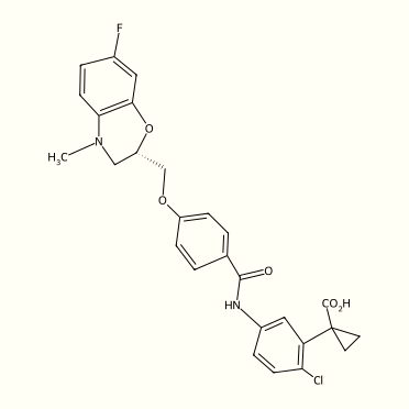 CN1C[C@@H](COc2ccc(C(=O)Nc3ccc(Cl)c(C4(C(=O)O)CC4)c3)cc2)Oc2cc(F)ccc21